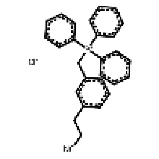 N#CCCc1cccc(C[P+](c2ccccc2)(c2ccccc2)c2ccccc2)c1.[Cl-]